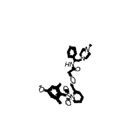 COc1cc(C)c(S(=O)(=O)N2CCCCC2COCC(=O)NC(CN2CCN(C)CC2)c2ccccc2)c(C)c1